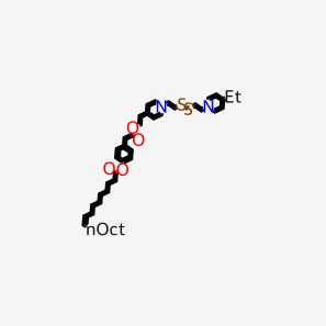 CCCCCCCC/C=C\CCCCCCCC(=O)Oc1ccc(CC(=O)OCCC2CCN(CCSSCCN3CCC(CC)CC3)CC2)cc1